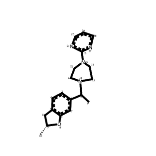 CC(c1ccc2c(c1)O[C@H](C)C2)N1CCN(c2nc[c]cn2)CC1